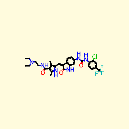 CCN(CC)CCNC(=O)c1c(C)[nH]c(C=C2C(=O)Nc3cc(NC(=O)Nc4ccc(C(F)(F)F)cc4Cl)ccc32)c1C